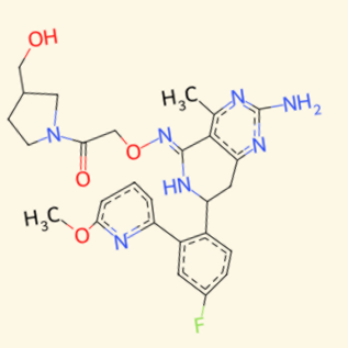 COc1cccc(-c2cc(F)ccc2C2Cc3nc(N)nc(C)c3C(=NOCC(=O)N3CCC(CO)C3)N2)n1